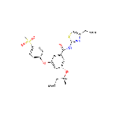 COCc1csc(NC(=O)c2cc(Oc3ccc(S(C)(=O)=O)cc3)cc(O[C@@H](C)COC)c2)n1